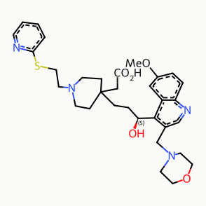 COc1ccc2ncc(CN3CCOCC3)c([C@@H](O)CCC3(CC(=O)O)CCN(CCSc4ccccn4)CC3)c2c1